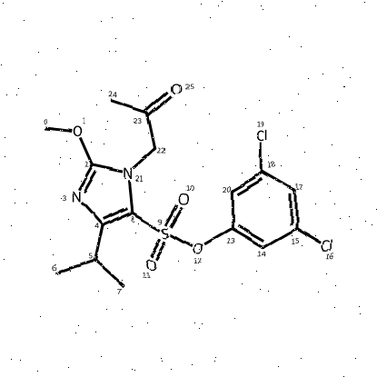 COc1nc(C(C)C)c(S(=O)(=O)Oc2cc(Cl)cc(Cl)c2)n1CC(C)=O